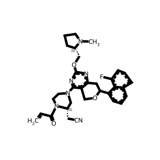 C=CC(=O)N1CCN(c2nc(OC[C@@H]3CCCN3C)nc3c2COC(c2cccc4cccc(F)c24)C3)C[C@@H]1CC#N